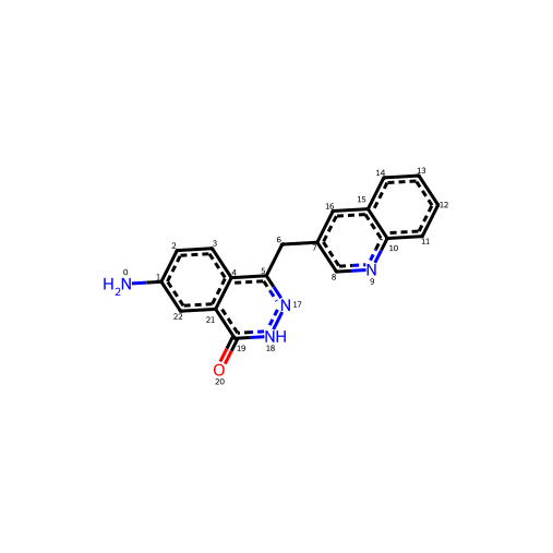 Nc1ccc2c(Cc3cnc4ccccc4c3)n[nH]c(=O)c2c1